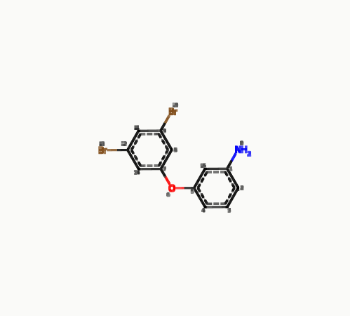 Nc1[c]ccc(Oc2cc(Br)cc(Br)c2)c1